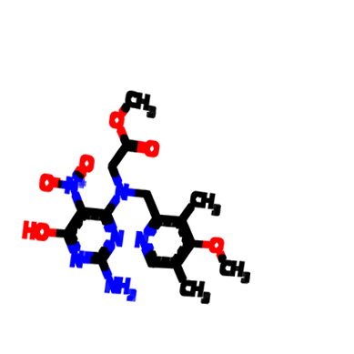 COC(=O)CN(Cc1ncc(C)c(OC)c1C)c1nc(N)nc(O)c1[N+](=O)[O-]